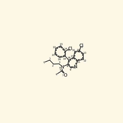 CCCCN(C(C)=O)c1cnc2ccc(Cl)cc2c1-c1ccccc1Cl